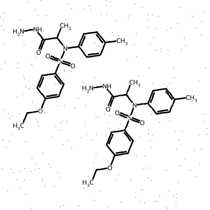 CCOc1ccc(S(=O)(=O)N(c2ccc(C)cc2)C(C)C(=O)NN)cc1.CCOc1ccc(S(=O)(=O)N(c2ccc(C)cc2)C(C)C(=O)NN)cc1